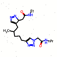 CCCNC(=O)Cn1cc(CCCC(C)CC2=CN=NC2CC(=O)NCC)nn1